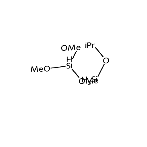 CC(C)O[SiH3].CO[SiH](OC)OC